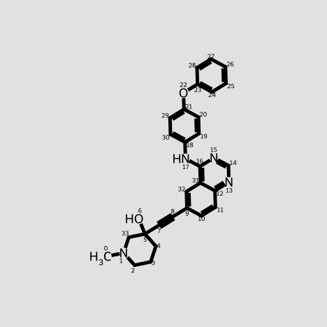 CN1CCCC(O)(C#Cc2ccc3ncnc(Nc4ccc(Oc5ccccc5)cc4)c3c2)C1